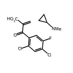 C=C(C(=O)O)C(=O)c1cc(F)c(Cl)cc1Cl.CNC1CC1